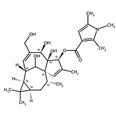 CC1=C[C@]23C(O)[C@@H](C=C(CO)[C@@H](O)[C@]2(O)[C@H]1OC(=O)c1cc(C)n(C)c1C)[C@H]1[C@@H](C[C@H]3C)C1(C)C